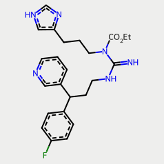 CCOC(=O)N(CCCc1c[nH]cn1)C(=N)NCCC(c1ccc(F)cc1)c1cccnc1